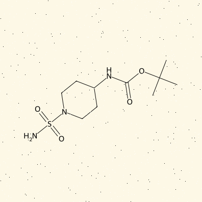 CC(C)(C)OC(=O)NC1CCN(S(N)(=O)=O)CC1